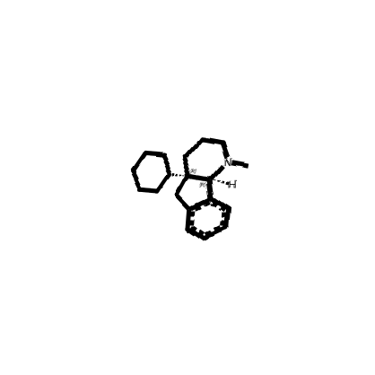 CN1CCC[C@]2(C3CCCCC3)Cc3ccccc3[C@H]12